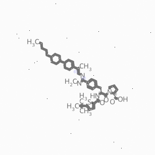 C=N/C(=N\C=C(/C)C1=CCC(C2CCC(CCCCC)CC2)CC1)c1ccc(C[C@H](NC(=O)c2ccc(C(C)(C)C)s2)C(=O)N2CCC[C@H]2C(=O)O)cc1